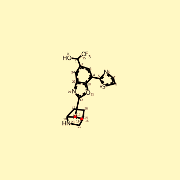 OC(c1cc(-c2nccs2)c2oc(N3CC4CCC(C3)NC4)nc2c1)C(F)(F)F